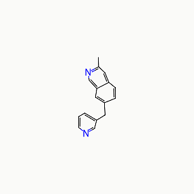 Cc1cc2ccc(Cc3cccnc3)cc2cn1